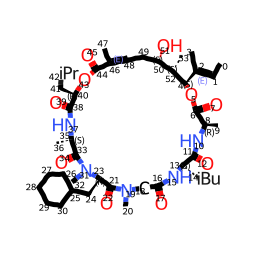 C/C=C(\C)[C@H]1OC(=O)[C@@H](C)NC(=O)[C@H](C(C)CC)NC(=O)CN(C)C(=O)[C@@H](CC2CCCCC2)N(C)C(=O)[C@H](C)NC(=O)[C@@H](CC(C)C)OC(=O)/C(C)=C/C[C@H](O)[C@@H]1C